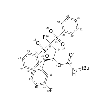 CC(C)(C)NC(=O)O[C@@H](Cc1cccc(F)c1)CC(F)(S(=O)(=O)c1ccccc1)S(=O)(=O)c1ccccc1